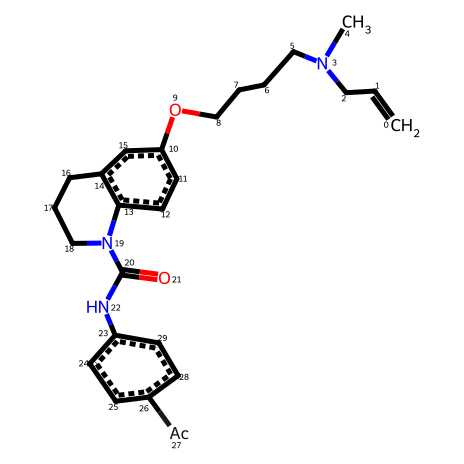 C=CCN(C)CCCCOc1ccc2c(c1)CCCN2C(=O)Nc1ccc(C(C)=O)cc1